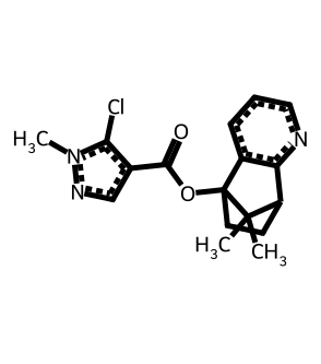 Cn1ncc(C(=O)OC23CCC(c4ncccc42)C3(C)C)c1Cl